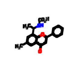 Cc1cc(C(C)NC(=O)O)c2oc(-c3ccccc3)cc(=O)c2c1